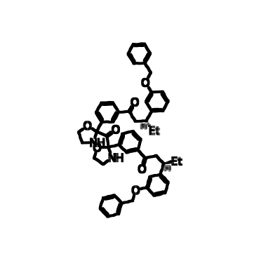 CC[C@H](CC(=O)c1cccc(C2(C(=O)C3(c4cccc(C(=O)C[C@@H](CC)c5cccc(OCc6ccccc6)c5)c4)NCCO3)NCCO2)c1)c1cccc(OCc2ccccc2)c1